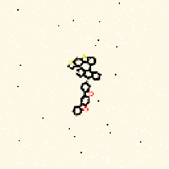 c1ccc2c(c1)oc1cc3oc4cc(-c5c6ccccc6c(-c6cccc7sc8cc9sccc9cc8c67)c6ccccc56)ccc4c3cc12